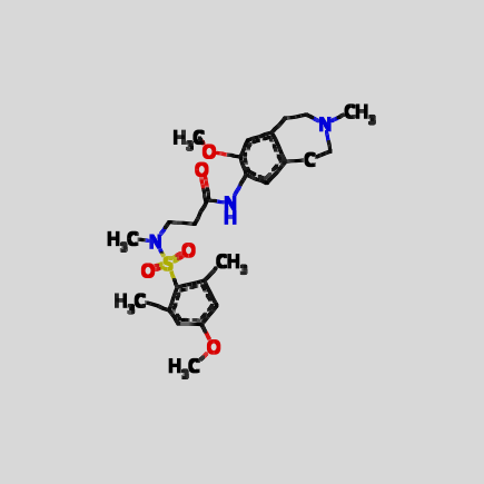 COc1cc(C)c(S(=O)(=O)N(C)CCC(=O)Nc2cc3c(cc2OC)CCN(C)CC3)c(C)c1